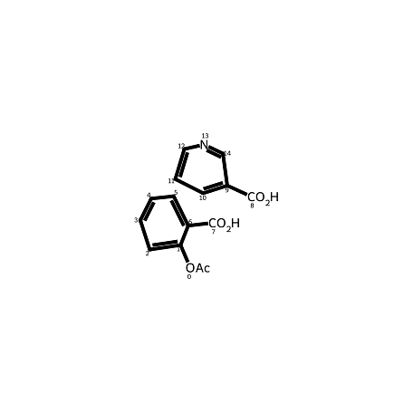 CC(=O)Oc1ccccc1C(=O)O.O=C(O)c1cccnc1